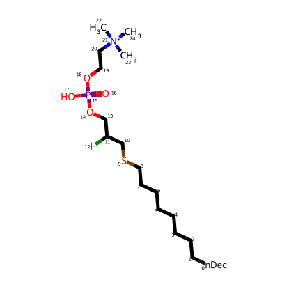 CCCCCCCCCCCCCCCCCCSCC(F)COP(=O)(O)OCC[N+](C)(C)C